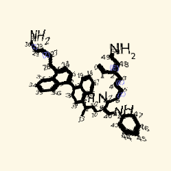 C=CC(/C=C/C=C\C(N)[C@H](CCC(C)C1=C2C=CC=CC2C(c2ccc(C/C=C\C=C/N)c3ccccc23)CC1)CNC1C=CCCC1)=C\CN